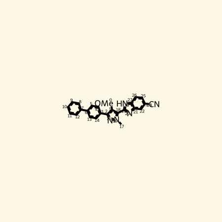 COc1c(-c2ccc(-c3ccccc3)cc2)nn(C)c1-c1nc2cc(C#N)ccc2[nH]1